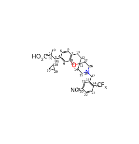 C[C@H](C(=O)O)[C@H](c1ccc2c(c1)OC1(CC2)CCN(Cc2cc(C#N)ccc2C(F)(F)F)CC1)C1CC1